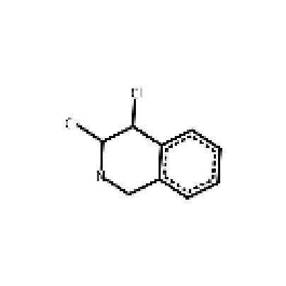 ClC1[N]Cc2ccccc2C1Cl